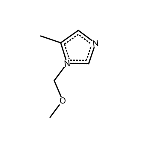 COCn1cncc1C